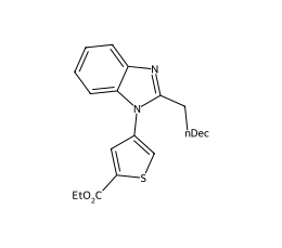 CCCCCCCCCCCc1nc2ccccc2n1-c1csc(C(=O)OCC)c1